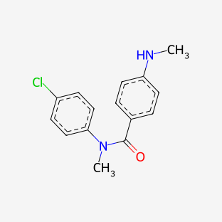 CNc1ccc(C(=O)N(C)c2ccc(Cl)cc2)cc1